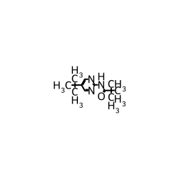 CC(C)(C)C(=O)Nc1ncc(C(C)(C)C)cn1